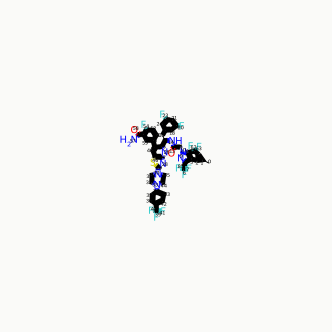 C[C@@H]1C2c3c(C(F)(F)F)nn(CC(=O)N[C@@H](Cc4cc(F)cc(F)c4)c4nc5nc(N6CCN(c7ccc(C(F)(F)F)cc7)CC6)sc5cc4-c4ccc(F)c(C(N)=O)c4)c3C(F)(F)C21